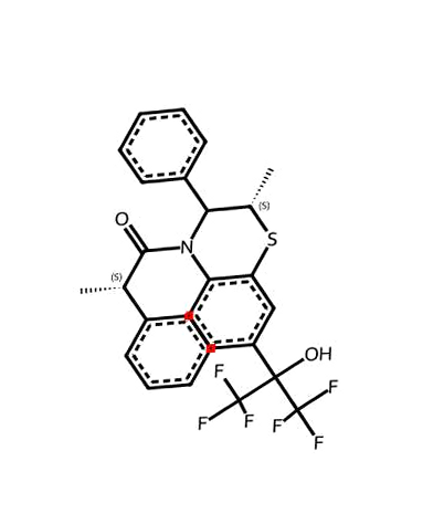 C[C@H](C(=O)N1c2ccc(C(O)(C(F)(F)F)C(F)(F)F)cc2S[C@@H](C)C1c1ccccc1)c1ccccc1